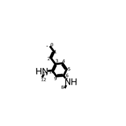 [CH2]C=Cc1ccc(NC)cc1NC